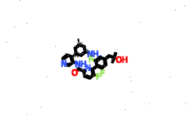 C[C@@H]1C[C@H](N)C[C@H](c2ccncc2NC(=O)c2ccc(F)c(-c3c(F)cc(CC(C)(C)O)cc3F)n2)C1